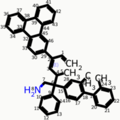 C=C/C(=C\C(C)C(CN)(c1ccccc1)c1ccc(-c2ccccc2C)c(C)c1)c1ccc2c3ccccc3c3ccccc3c2c1